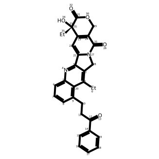 CCc1c2c(nc3cccc(CCC(=O)c4ccccc4)c13)-c1cc3c(c(=O)n1C2)COC(=O)[C@]3(O)CC